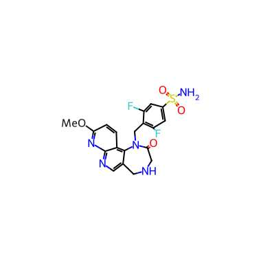 COc1ccc2c3c(cnc2n1)CNCC(=O)N3Cc1c(F)cc(S(N)(=O)=O)cc1F